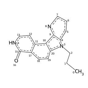 CCCn1c2cccnc2c2c3cc[nH]c(=O)c3ccc21